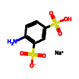 Nc1ccc(S(=O)(=O)O)cc1S(=O)(=O)[O-].[Na+]